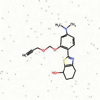 C#CCOCOc1cc(N(C)C)ccc1-c1nc2c(s1)C(O)CCC2